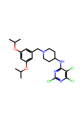 CC(C)Oc1cc(CN2CCC(Nc3nc(Cl)nc(Cl)c3Cl)CC2)cc(OC(C)C)c1